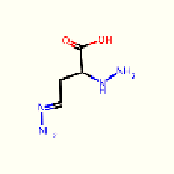 NN=CCC(NN)C(=O)O